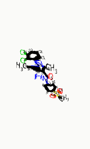 Cc1cc(C(=O)Nc2ccc(S(C)(=O)=O)cc2)c(C)n1-c1cccc(Cl)c1Cl